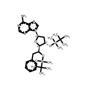 CC(C)(C)[Si](C)(C)OC(Cc1ccccc1)[C@H]1O[C@@H](n2cnc3c(N)ncnc32)C[C@@H]1O[Si](C)(C)C(C)(C)C